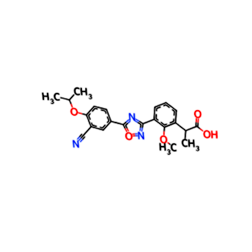 COc1c(-c2noc(-c3ccc(OC(C)C)c(C#N)c3)n2)cccc1C(C)C(=O)O